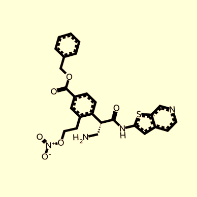 NC[C@@H](C(=O)Nc1cc2ccncc2s1)c1ccc(C(=O)OCc2ccccc2)cc1CCO[N+](=O)[O-]